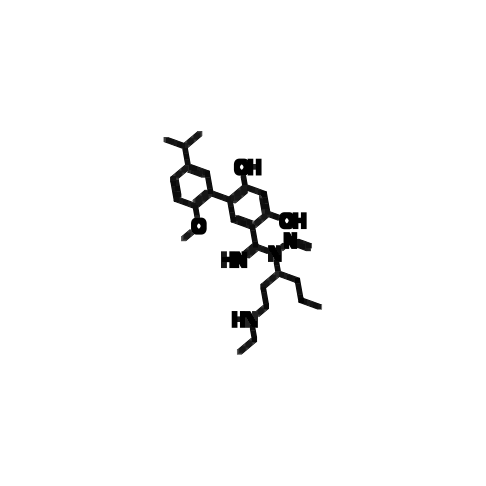 C=NN(C(=N)c1cc(-c2cc(C(C)C)ccc2OC)c(O)cc1O)C(CCC)CCNCC